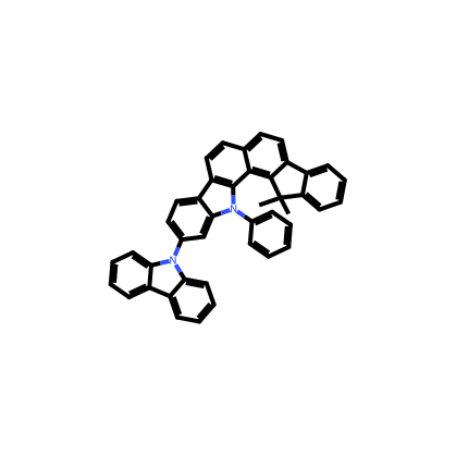 CC1(C)c2ccccc2-c2ccc3ccc4c5ccc(-n6c7ccccc7c7ccccc76)cc5n(-c5ccccc5)c4c3c21